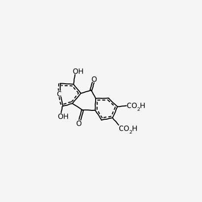 O=C(O)c1cc2c(cc1C(=O)O)C(=O)c1c(O)ccc(O)c1C2=O